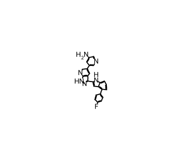 Nc1cncc(-c2cnc3[nH]nc(-c4cc5c(-c6ccc(F)cc6)cccc5[nH]4)c3c2)c1